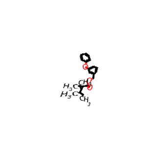 CC=C(C)C1C(C(=O)OCc2cccc(Oc3ccccc3)c2)C1(C)C